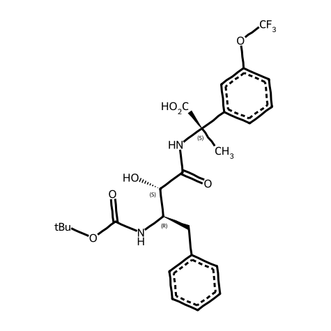 CC(C)(C)OC(=O)N[C@H](Cc1ccccc1)[C@H](O)C(=O)N[C@](C)(C(=O)O)c1cccc(OC(F)(F)F)c1